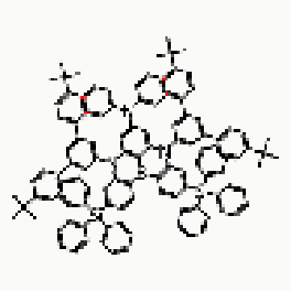 CC(C)(C)c1ccc(-c2cc(-c3ccc(C(C)(C)C)cc3)cc(N3c4cc([Si](c5ccccc5)(c5ccccc5)c5ccccc5)ccc4B4c5ccc([Si](c6ccccc6)(c6ccccc6)c6ccccc6)cc5N(c5cc(-c6ccc(C(C)(C)C)cc6)cc(-c6ccc(C(C)(C)C)cc6)c5)c5cc(N(c6ccccc6)c6ccccc6)cc3c54)c2)cc1